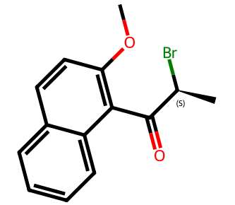 COc1ccc2ccccc2c1C(=O)[C@H](C)Br